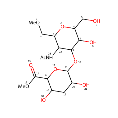 COCC1OC(CO)C(O)C(OC2OC(C(=O)OC)C(O)CC2O)C1NC(C)=O